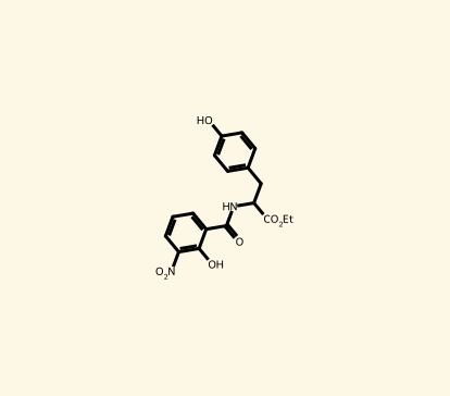 CCOC(=O)C(Cc1ccc(O)cc1)NC(=O)c1cccc([N+](=O)[O-])c1O